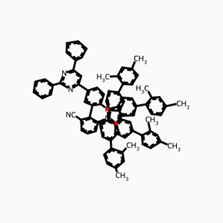 Cc1ccc(-c2ccc3c(c2)c2cc(-c4ccc(C)cc4C)ccc2n3-c2ccc(-c3cc(-c4ccccc4)nc(-c4ccccc4)n3)cc2-c2c(C#N)cccc2-n2c3ccc(-c4ccc(C)cc4C)cc3c3cc(-c4ccc(C)cc4C)ccc32)c(C)c1